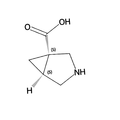 O=C(O)[C@]12CNC[C@H]1C2